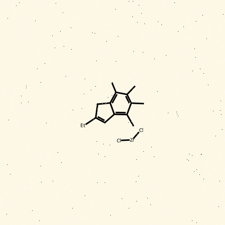 CCC1=Cc2c(C)c(C)c(C)c(C)c2[CH]1.[Cl][Zr][Cl]